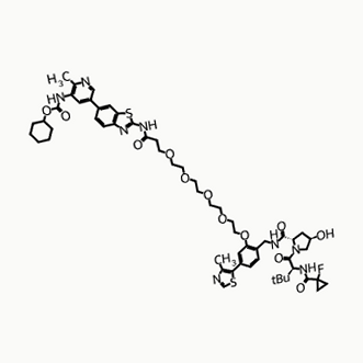 Cc1ncc(-c2ccc3nc(NC(=O)CCOCCOCCOCCOCCOc4cc(-c5scnc5C)ccc4CNC(=O)[C@@H]4C[C@@H](O)CN4C(=O)[C@@H](NC(=O)C4(F)CC4)C(C)(C)C)sc3c2)cc1NC(=O)OC1CCCCC1